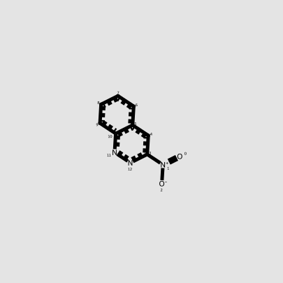 O=[N+]([O-])c1cc2ccccc2nn1